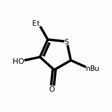 CCCCC1SC(CC)=C(O)C1=O